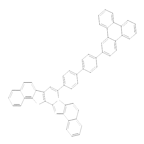 c1ccc2c(c1)ccc1c2nc2c3sc4c5ccccc5ccc4c3cc(-c3ccc(-c4ccc(-c5ccc6c7ccccc7c7ccccc7c6c5)cc4)cc3)n12